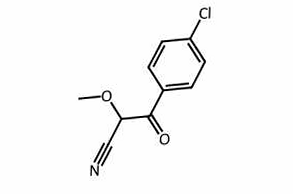 COC(C#N)C(=O)c1ccc(Cl)cc1